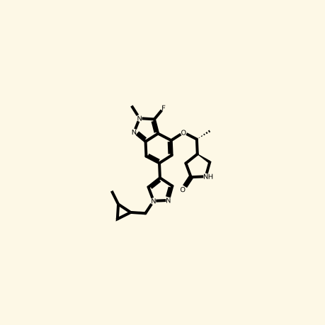 CC1CC1Cn1cc(-c2cc(O[C@H](C)[C@H]3CNC(=O)C3)c3c(F)n(C)nc3c2)cn1